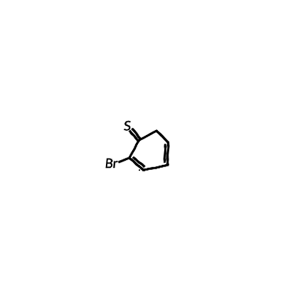 S=C1CC=C[C]=C1Br